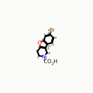 O=C(O)N1CCc2oc3cc(Br)ccc3c2C1